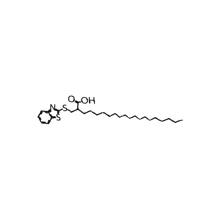 CCCCCCCCCCCCCCCCCCC(CSc1nc2ccccc2s1)C(=O)O